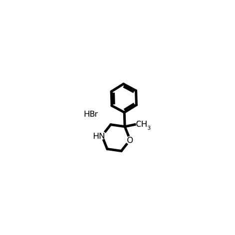 Br.CC1(c2ccccc2)CNCCO1